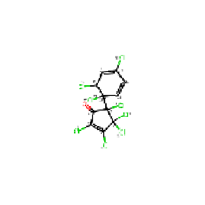 O=C1C(Cl)=C(Cl)C(Cl)(Cl)C1(Cl)C1(Cl)C=CC(Cl)=CC1Cl